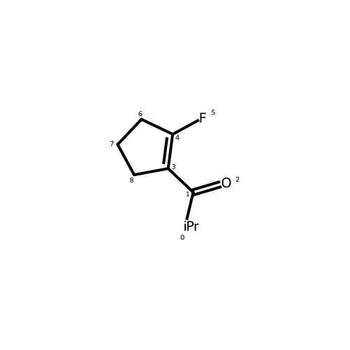 CC(C)C(=O)C1=C(F)CCC1